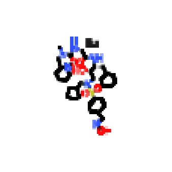 CC[C@H](C)[C@H](NC(=O)N(C)Cc1ccccn1)C(=O)N[C@@H](Cc1ccccc1)[C@H](O)CN(CC1CCCC1)S(=O)(=O)c1ccc(C=NO)cc1